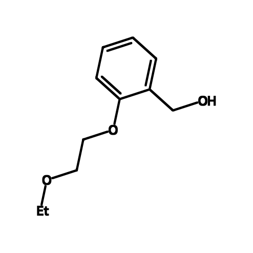 CCOCCOc1ccccc1CO